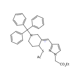 CCOC(=O)Cn1ccc(/C=C2/CN(C(c3ccccc3)(c3ccccc3)c3ccccc3)CCC2SC(C)=O)n1